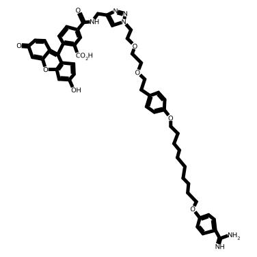 N=C(N)c1ccc(OCCCCCCCCCCOc2ccc(CCOCCOCCn3cc(CNC(=O)c4ccc(-c5c6ccc(=O)cc-6oc6cc(O)ccc56)c(C(=O)O)c4)nn3)cc2)cc1